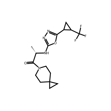 C[C@H](Nc1nnc(C2CC2C(F)(F)F)o1)C(=O)N1CCC2(CC1)CC2